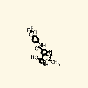 CC(C)n1cnc2cc(C(=O)Nc3ccc(OC(F)(F)Cl)cc3)cc(-c3n[nH]cc3O)c21